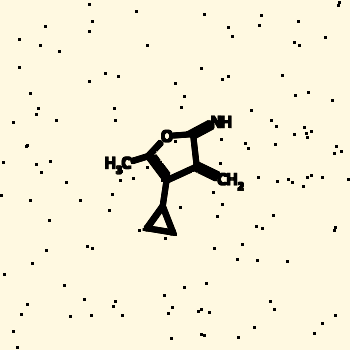 C=C1C(=N)OC(C)=C1C1CC1